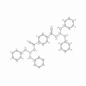 O=C(OC(Oc1ccccc1)Oc1ccccc1)c1ccc(C(=O)OC(Oc2ccccc2)Oc2ccccc2)cc1